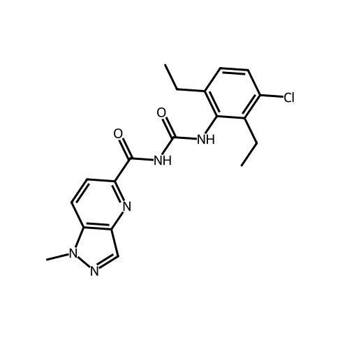 CCc1ccc(Cl)c(CC)c1NC(=O)NC(=O)c1ccc2c(cnn2C)n1